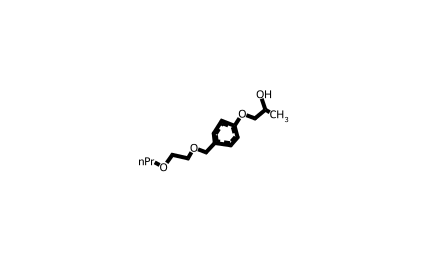 CCCOCCOCc1ccc(OCC(C)O)cc1